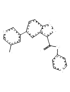 O=C(Nc1ccncc1)c1n[nH]c2ccc(-c3cncc(C(F)(F)F)c3)cc12